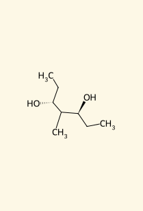 CC[C@@H](O)C(C)[C@@H](O)CC